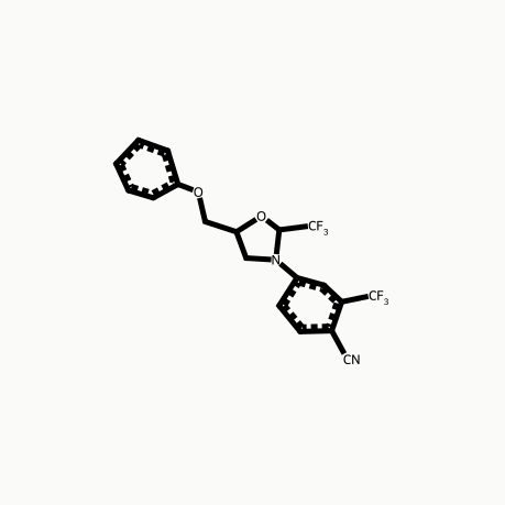 N#Cc1ccc(N2CC(COc3ccccc3)OC2C(F)(F)F)cc1C(F)(F)F